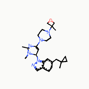 CC1=NC(N2CCN(C3(C)COC3)CC2)=CC(n2ncc3ccc(CC4(C)CC4)cc32)N1C